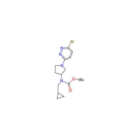 CC(C)(C)OC(=O)N(CC1CC1)C1CCN(c2ccc(Br)nn2)C1